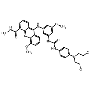 CNC(=O)c1cccc2c(Nc3cc(NC(=O)Nc4ccc(N(CCCl)CCCl)cc4)cc(OC)c3)c3cccc(OC)c3nc12